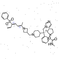 C=C/C(=C\C=C(/C)N1CC(CN2CCC(C(Cn3ccnc3)(c3ccccc3)[C@@H]3CCC[C@H]3OC(=O)NC)CC2)C1)S(=O)(=O)c1ccccc1